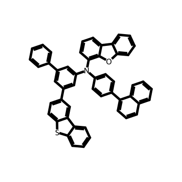 c1ccc(-c2cc(-c3ccc4sc5ccccc5c4c3)cc(N(c3ccc(-c4cccc5ccccc45)cc3)c3cccc4c3oc3ccccc34)c2)cc1